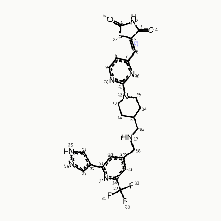 O=C1NC(=O)/C(=C/c2ccnc(N3CCC(CNCc4cc(-c5cn[nH]c5)nc(C(F)(F)F)c4)CC3)n2)S1